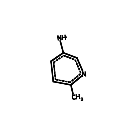 Cc1ccc([NH])cn1